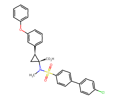 CN([C@]1(C(=O)O)C[C@H]1c1cccc(Oc2ccccc2)c1)S(=O)(=O)c1ccc(-c2ccc(Cl)cc2)cc1